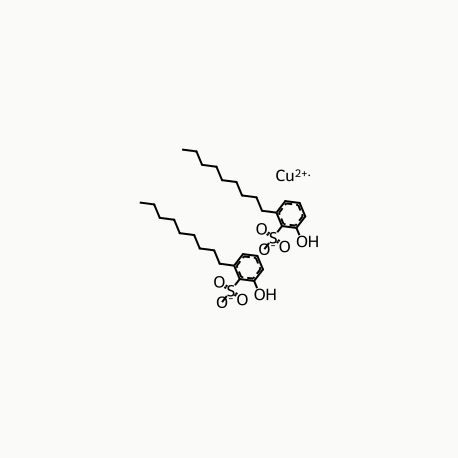 CCCCCCCCCc1cccc(O)c1S(=O)(=O)[O-].CCCCCCCCCc1cccc(O)c1S(=O)(=O)[O-].[Cu+2]